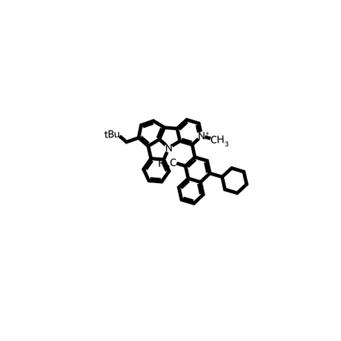 Cc1c(-c2c3c(cc[n+]2C)c2ccc(CC(C)(C)C)c4c5ccccc5n3c24)cc(C2CCCCC2)c2ccccc12